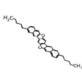 CCCCCc1ccc2cc3oc4cc5c(cc4c3cc2c1)oc1cc2ccc(CCCCC)cc2cc15